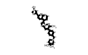 CCn1cnc(-c2ccc3c(-c4cnc5cc(-c6ccc(CN7CCC(C)(O)CC7)cc6)c(C)nn45)ccnc3n2)c1